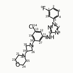 Fc1cccc(-n2cnc(Nc3cc(Cl)cc(N4CC(N5CCOCC5)C4)c3)n2)c1